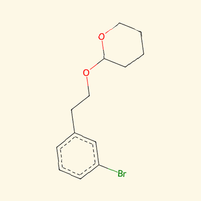 Brc1cccc(CCOC2CCCCO2)c1